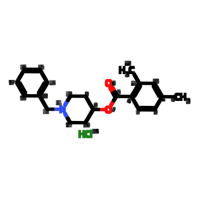 Cc1ccc(C(=O)OC2CCN(Cc3ccccc3)CC2)c(C)c1.Cl